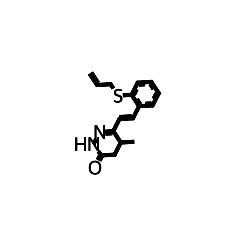 C=CCSc1ccccc1C=CC1=NNC(=O)CC1C